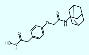 O=C(Cc1ccc(OCC(=O)NC23CC4CC(CC(C4)C2)C3)cc1)NO